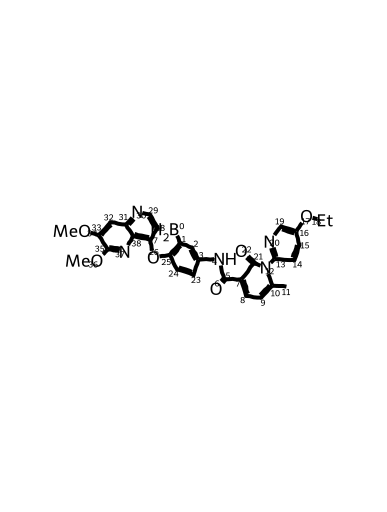 Bc1cc(NC(=O)c2ccc(C)n(-c3ccc(OCC)cn3)c2=O)ccc1Oc1ccnc2cc(OC)c(OC)nc12